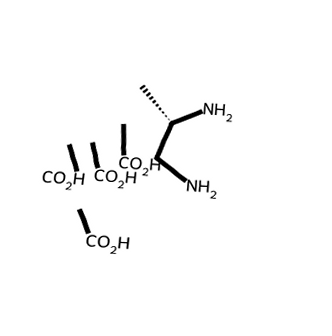 CC(=O)O.CC(=O)O.CC(=O)O.CC(=O)O.C[C@H](N)CN